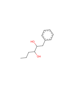 CCCC(O)C(O)Cc1ccccc1